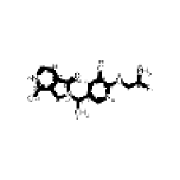 CC(c1cnc(OCC(F)P)c(Cl)c1)N1Cc2c(ccnc2Cl)C1=O